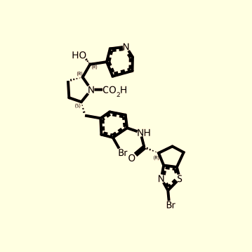 O=C(Nc1ccc(C[C@@H]2CC[C@H]([C@H](O)c3cccnc3)N2C(=O)O)cc1Br)[C@@H]1CCc2sc(Br)nc21